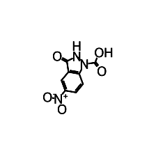 O=C(O)n1[nH]c(=O)c2cc([N+](=O)[O-])ccc21